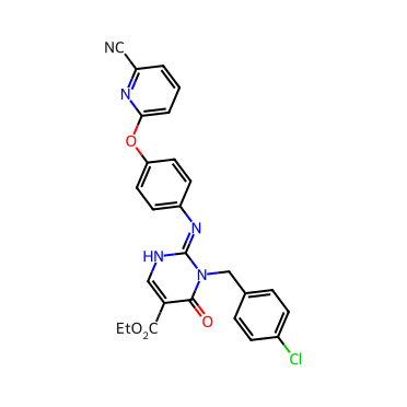 CCOC(=O)c1c[nH]/c(=N\c2ccc(Oc3cccc(C#N)n3)cc2)n(Cc2ccc(Cl)cc2)c1=O